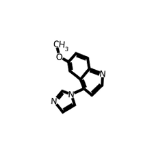 COc1ccc2nccc(-n3ccnc3)c2c1